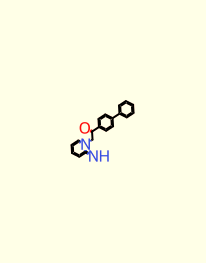 N=c1ccccn1CC(=O)c1ccc(-c2ccccc2)cc1